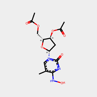 CC(=O)OC[C@H]1O[C@@H](n2cc(C)c(NO)nc2=O)C[C@@H]1OC(C)=O